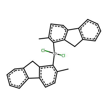 Cc1ccc2c([c]1[Zr]([Cl])([Cl])[c]1c(C)ccc3c1Cc1ccccc1-3)Cc1ccccc1-2